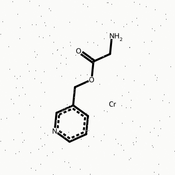 NCC(=O)OCc1cccnc1.[Cr]